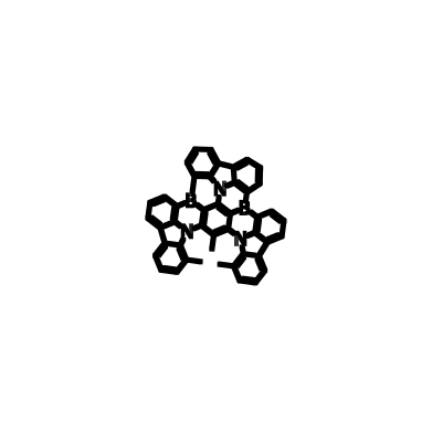 Cc1c2c3c4c5c1-n1c6c(C)cccc6c6cccc(c61)B5c1cccc5c6cccc(c6n-4c15)B3c1cccc3c4cccc(C)c4n-2c13